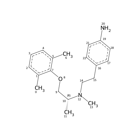 Cc1cccc(C)c1OC[C@@H](C)N(C)CCc1ccc(N)cc1